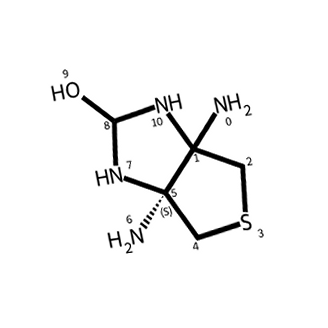 NC12CSC[C@@]1(N)NC(O)N2